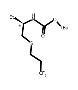 CC[C@H](CSCCC(F)(F)F)NC(=O)OC(C)(C)C